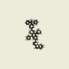 O=P(c1ccccc1)(c1ccccc1)c1ccc(-c2ccc3c(-c4ccccc4)c4cc(-c5ccc6ccc7cccnc7c6n5)ccc4c(-c4ccccc4)c3c2)cc1